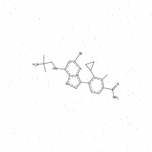 Cc1c(C(N)=O)ccc(-c2cnc3c(NCC(C)(C)N)cc(Br)nn23)c1C1CC1